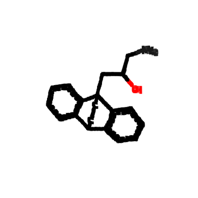 CNCC(O)CC12CCC(c3ccccc31)c1ccccc12